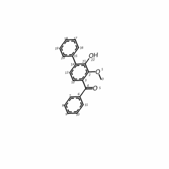 COc1c(C(=O)c2ccccc2)ccc(-c2ccccc2)c1O